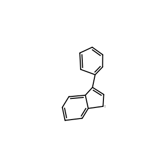 [C]1C=C(c2ccccc2)c2ccccc21